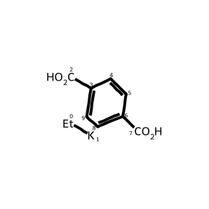 C[CH2][K].O=C(O)c1ccc(C(=O)O)cc1